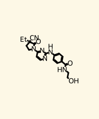 CC[C@]1(C#N)CCN(c2ccnc(Nc3ccc(C(=O)NCCO)cc3)n2)C1=O